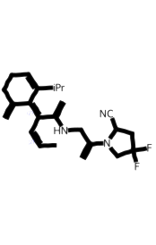 C=C(NCC(=C)N1CC(F)(F)CC1C#N)C(/C=C\C)=C1/C(=C)CCC=C1C(C)C